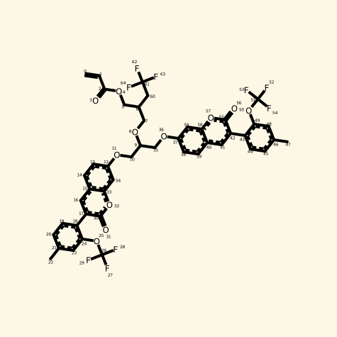 C=CC(=O)OCC(COC(COc1ccc2cc(-c3ccc(C)cc3OC(F)(F)F)c(=O)oc2c1)COc1ccc2cc(-c3ccc(C)cc3OC(F)(F)F)c(=O)oc2c1)CC(F)(F)F